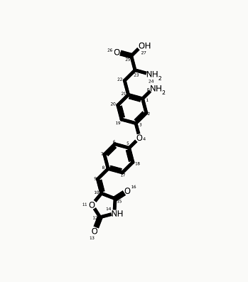 Nc1cc(Oc2ccc(/C=C3/OC(=O)NC3=O)cc2)ccc1CC(N)C(=O)O